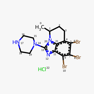 CC1CCc2c(Br)c(Br)c(Br)c3nc(N4CCNCC4)n1c23.Cl